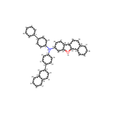 c1ccc(-c2ccc(N(c3ccc(-c4ccc5ccccc5c4)cc3)c3ccc4c(c3)oc3c5ccccc5ccc43)cc2)cc1